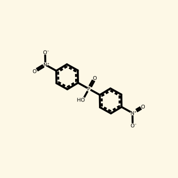 O=[N+]([O-])c1ccc(P(=O)(O)c2ccc([N+](=O)[O-])cc2)cc1